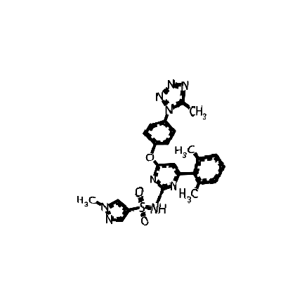 Cc1cccc(C)c1-c1cc(Oc2ccc(-n3nnnc3C)cc2)nc(NS(=O)(=O)c2cnn(C)c2)n1